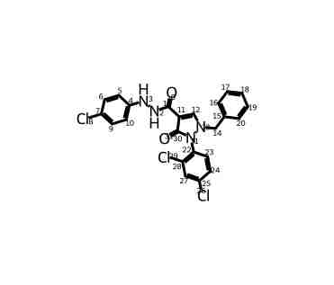 O=C(NNc1ccc(Cl)cc1)c1cn(Cc2ccccc2)n(-c2ccc(Cl)cc2Cl)c1=O